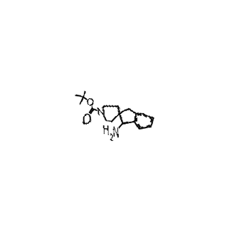 CC(C)(C)OC(=O)N1CCC2(CC1)Cc1ccccc1C2N